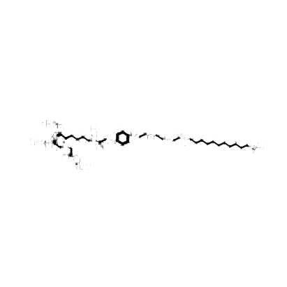 CC(=O)SCCCCCCCCCCCOCCOCCOCCOc1ccc(OCC(=O)NCCCCC(C(=O)OC(C)(C)C)N(CC(=O)OC(C)(C)C)CC(=O)OC(C)(C)C)cc1